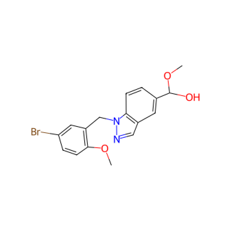 COc1ccc(Br)cc1Cn1ncc2cc(C(O)OC)ccc21